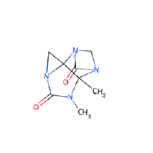 CN1C(=O)N2CC23N2CN(C2=O)C13C